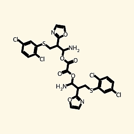 NC(OC(=O)C(=O)OC(N)C(CSc1cc(Cl)ccc1Cl)c1ncco1)C(CSc1cc(Cl)ccc1Cl)c1ncco1